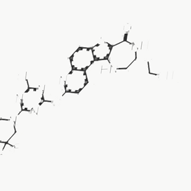 CCC[C@@H]1CNc2c(sc3ccc4nc(Oc5nc(Cl)nc(N6CCCC(F)(F)C6)n5)ccc4c23)C(=O)N1